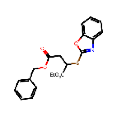 CCOC(=O)C(CC(=O)OCc1ccccc1)Sc1nc2ccccc2o1